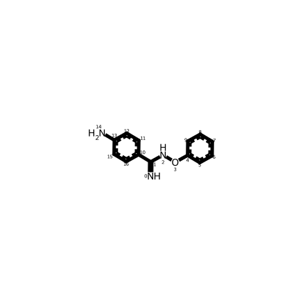 N=C(NOc1ccccc1)c1ccc(N)cc1